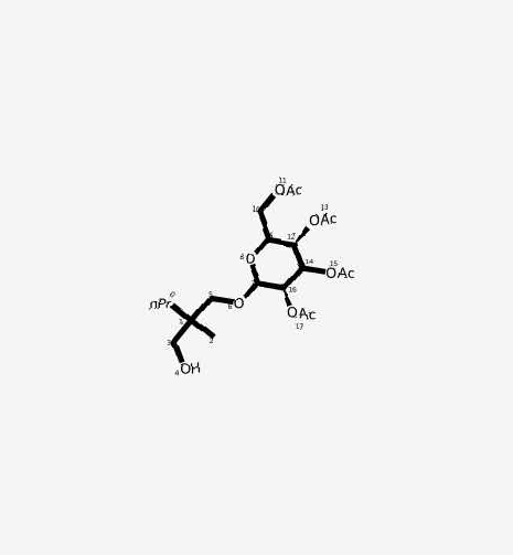 CCCC(C)(CO)COC1OC(COC(C)=O)[C@@H](OC(C)=O)C(OC(C)=O)[C@H]1OC(C)=O